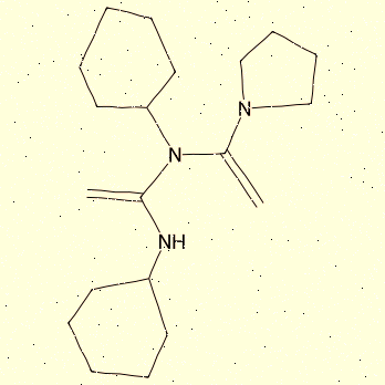 C=C(NC1CCCCC1)N(C(=C)N1CCCC1)C1CCCCC1